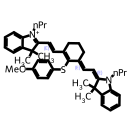 CCCN1/C(=C/C=C2\CCCC(/C=C/C3=[N+](CCC)c4ccccc4C3(C)C)=C2Sc2ccc(OC)cc2)C(C)(C)c2ccccc21